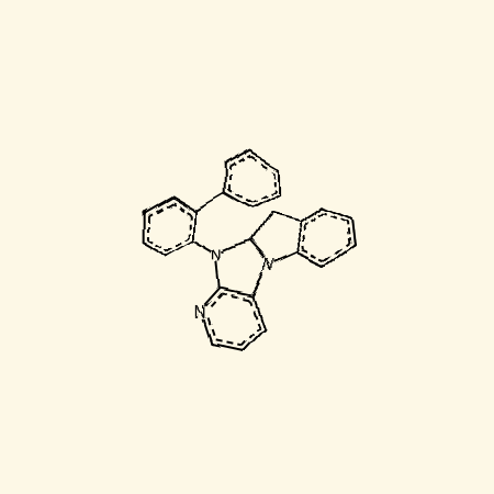 c1ccc(-c2ccccc2N2c3ncccc3N3c4ccccc4CC32)cc1